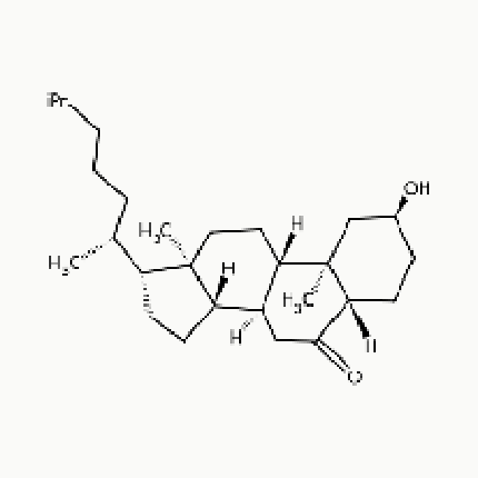 CC(C)CCC[C@@H](C)[C@H]1CC[C@H]2[C@@H]3CC(=O)[C@H]4CC[C@H](O)C[C@]4(C)[C@H]3CC[C@]12C